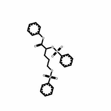 O=C(Oc1ccccc1)C(CCCOS(=O)(=O)c1ccccc1)OS(=O)(=O)c1ccccc1